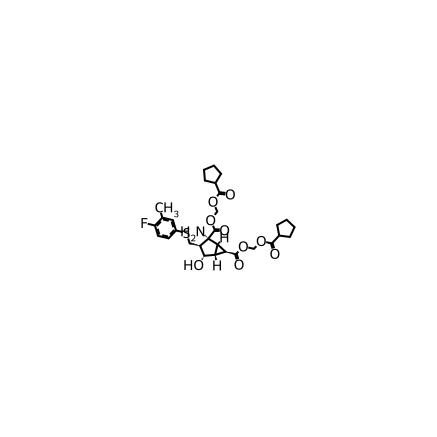 Cc1cc(SC[C@@H]2[C@@H](O)[C@H]3[C@H](C(=O)OCOC(=O)C4CCCC4)[C@H]3[C@]2(N)C(=O)OCOC(=O)C2CCCC2)ccc1F